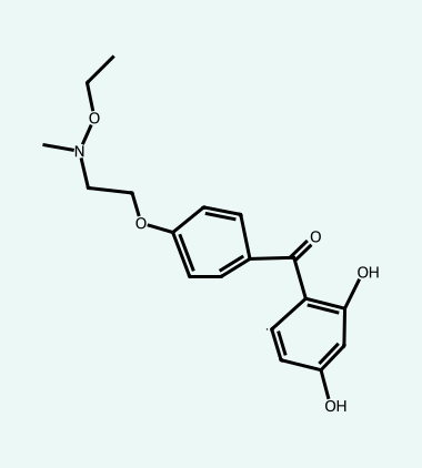 CCON(C)CCOc1ccc(C(=O)c2[c]cc(O)cc2O)cc1